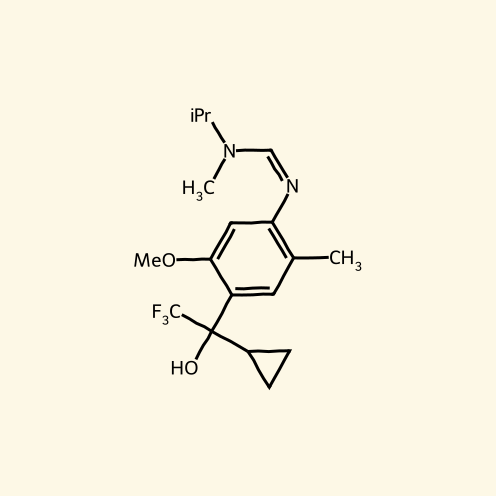 COc1cc(/N=C\N(C)C(C)C)c(C)cc1C(O)(C1CC1)C(F)(F)F